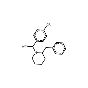 CCCC(c1ccc(C(F)(F)F)cc1)N1CCCCC1Cc1ccccc1